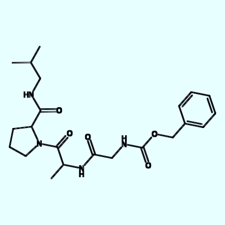 CC(C)CNC(=O)C1CCCN1C(=O)C(C)NC(=O)CNC(=O)OCc1ccccc1